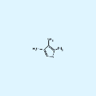 Cc1csc(P)c1C